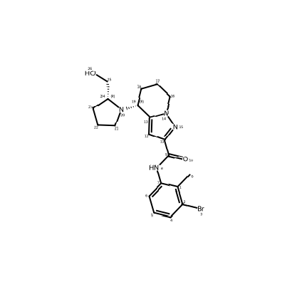 Cc1c(Br)cccc1NC(=O)c1cc2n(n1)CCC[C@H]2N1CCC[C@@H]1CO